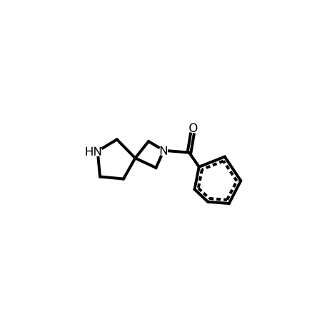 O=C(c1ccccc1)N1CC2(CCNC2)C1